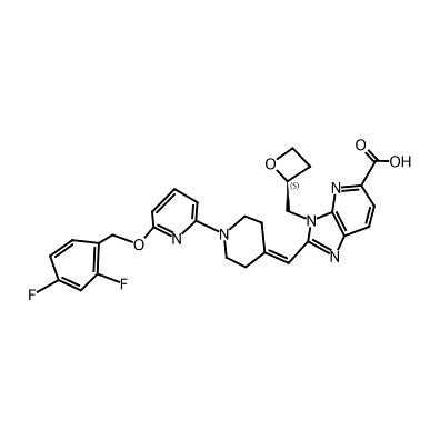 O=C(O)c1ccc2nc(C=C3CCN(c4cccc(OCc5ccc(F)cc5F)n4)CC3)n(C[C@@H]3CCO3)c2n1